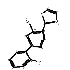 Brc1ccccc1-c1ccc(C2OC=CO2)c(Br)c1